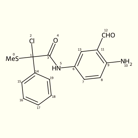 CSC(Cl)(C(=O)Nc1ccc(N)c(C=O)c1)c1ccccc1